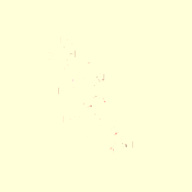 C=C/C(Br)=C\C(CC)=C(/C)C(=C)C(=O)Oc1cc(OC(C)=O)ccc1C